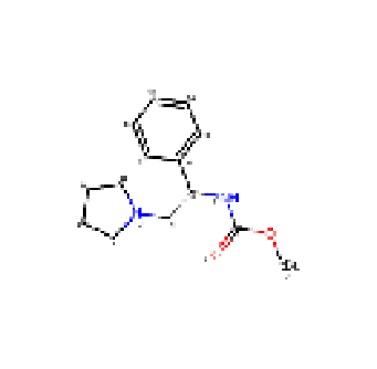 CC(C)(C)OC(=O)N[C@H](CN1CCCC1)c1ccccc1